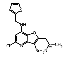 C[C@H](N)Cc1oc2c(NCc3cccs3)cc(Cl)nc2c1Br